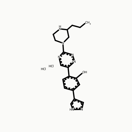 CCCC1CN(c2ncc(-c3ccc(-c4cn[nH]c4)cc3O)nn2)CCN1.Cl.Cl